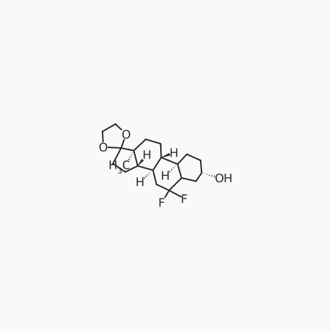 C[C@]12CC[C@H]3[C@@H](CC(F)(F)C4C[C@@H](O)CC[C@@H]43)[C@@H]1CCC21OCCO1